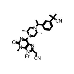 CCn1c(CC#N)nc2c(N3C[C@@H](C)N(C(C)c4cccc(C(C)(C)C#N)c4)C[C@@H]3C)nc(=O)n(C)c21